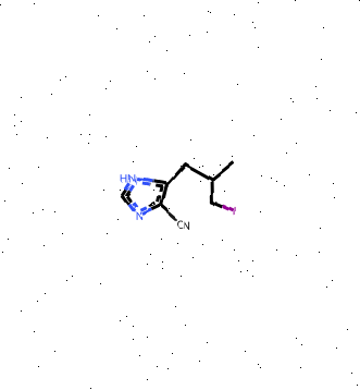 CC(CI)Cc1[nH]cnc1C#N